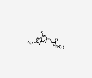 Cc1nc2nc(CCC(=O)NO)cc([S])n2n1